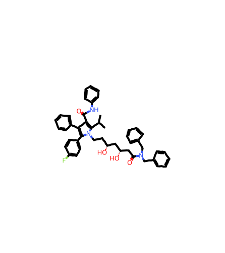 CC(C)c1c(C(=O)Nc2ccccc2)c(-c2ccccc2)c(-c2ccc(F)cc2)n1CC[C@@H](O)C[C@@H](O)CC(=O)N(Cc1ccccc1)Cc1ccccc1